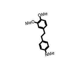 CNc1ccc(CCc2ccc(OC)c(OC)c2)cc1